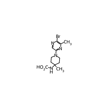 Cc1nc(N2CCC(C)(NC(=O)O)CC2)cnc1Br